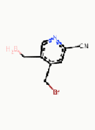 BCc1cnc(C#N)cc1CBr